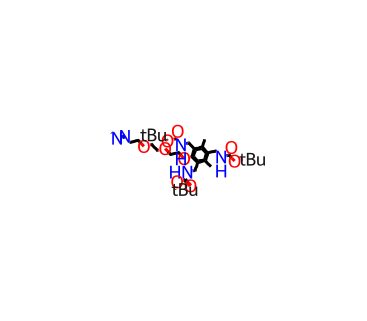 C/N=N/CCOCCOCCOc1c(CNC(=O)OC(C)(C)C)c(C)c(CNC(=O)OC(C)(C)C)c(C)c1CNC(=O)OC(C)(C)C